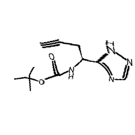 C#CC[C@H](NC(=O)OC(C)(C)C)c1ncn[nH]1